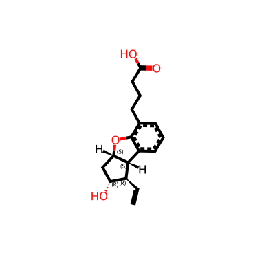 C=C[C@@H]1[C@H]2c3cccc(CCCC(=O)O)c3O[C@H]2C[C@H]1O